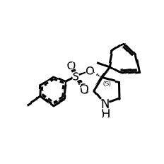 Cc1ccc(S(=O)(=O)O[C@]2(C3(C)C=CC=CC3)CCNC2)cc1